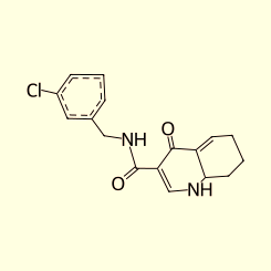 O=C(NCc1cccc(Cl)c1)C1=CNC2CCCC=C2C1=O